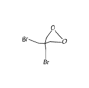 BrC1(Br)OO1